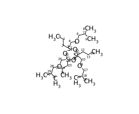 CCC[Si]1(COCC(C)C)O[Si](CCC)(COCC(C)C)O[Si](CCC)(COCC(C)C)O1